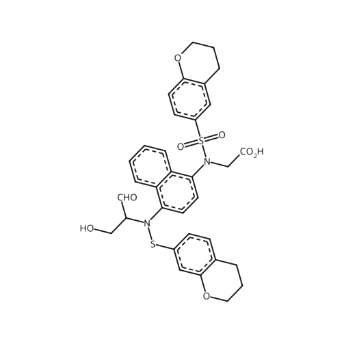 O=CC(CO)N(Sc1ccc2c(c1)OCCC2)c1ccc(N(CC(=O)O)S(=O)(=O)c2ccc3c(c2)CCCO3)c2ccccc12